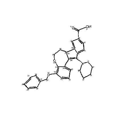 O=C(O)c1ccc2c(C3CCCCC3)c3n(c2c1)CCOc1c(OCc2ccccc2)cccc1-3